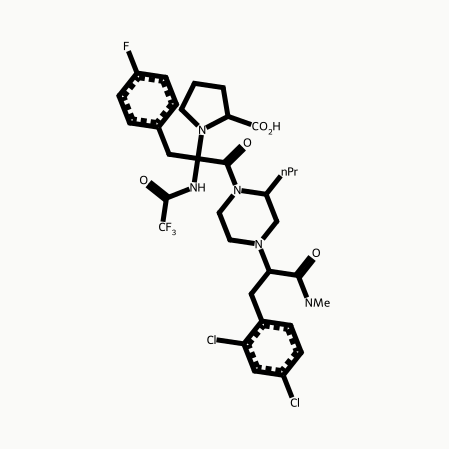 CCCC1CN(C(Cc2ccc(Cl)cc2Cl)C(=O)NC)CCN1C(=O)C(Cc1ccc(F)cc1)(NC(=O)C(F)(F)F)N1CCCC1C(=O)O